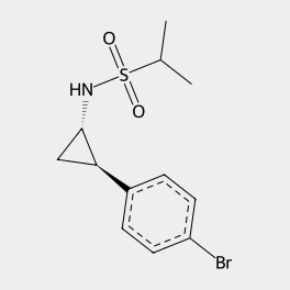 CC(C)S(=O)(=O)N[C@H]1C[C@@H]1c1ccc(Br)cc1